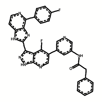 O=C(Cc1ccccc1)Nc1cncc(-c2cnc3[nH]nc(-c4nc5c(-c6ccc(F)cc6)nccc5[nH]4)c3c2F)c1